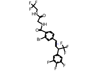 O=C(CNC(=O)c1ccc(/C=C/C(c2cc(F)c(F)c(F)c2)C(F)(F)F)cc1Br)NCC(F)(F)F